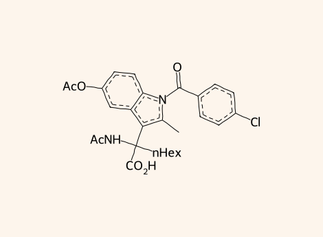 CCCCCCC(NC(C)=O)(C(=O)O)c1c(C)n(C(=O)c2ccc(Cl)cc2)c2ccc(OC(C)=O)cc12